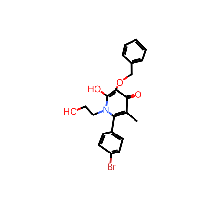 Cc1c(-c2ccc(Br)cc2)n(CCO)c(O)c(OCc2ccccc2)c1=O